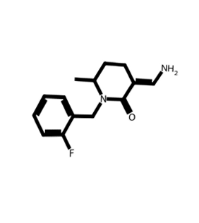 CC1CC/C(=C\N)C(=O)N1Cc1ccccc1F